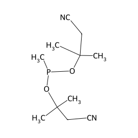 CP(OC(C)(C)CC#N)OC(C)(C)CC#N